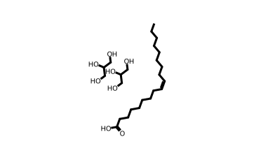 CCCCCCCC/C=C\CCCCCCCC(=O)O.OCC(O)CO.OCC(O)CO